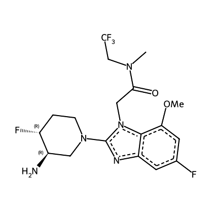 COc1cc(F)cc2nc(N3CC[C@@H](F)[C@H](N)C3)n(CC(=O)N(C)CC(F)(F)F)c12